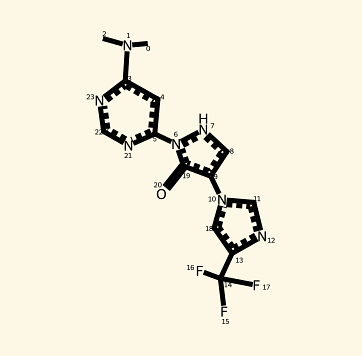 CN(C)c1cc(-n2[nH]cc(-n3cnc(C(F)(F)F)c3)c2=O)ncn1